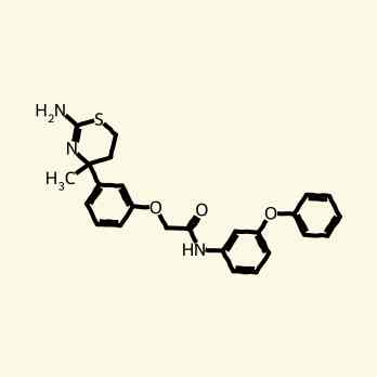 CC1(c2cccc(OCC(=O)Nc3cccc(Oc4ccccc4)c3)c2)CCSC(N)=N1